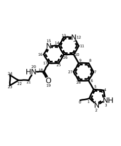 Cc1n[nH]cc1-c1ccc(-c2cncc3ncc(C(=O)NCC4CC4)cc23)cc1